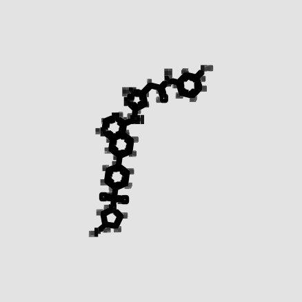 O=C(Cc1cc(Nc2ncnc3cc(-c4ccc(S(=O)(=O)N5CC[C@@H](F)C5)cc4)ccc23)n[nH]1)Nc1cccc(F)c1